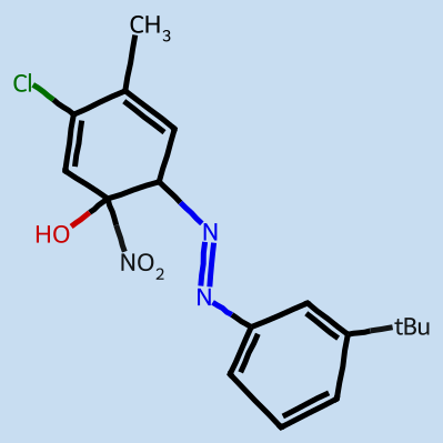 CC1=CC(N=Nc2cccc(C(C)(C)C)c2)C(O)([N+](=O)[O-])C=C1Cl